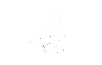 CC(C)c1ccccc1-n1c(=O)cc(-c2ccccc2)sc1=NC(=O)c1ccccc1[N+](=O)[O-]